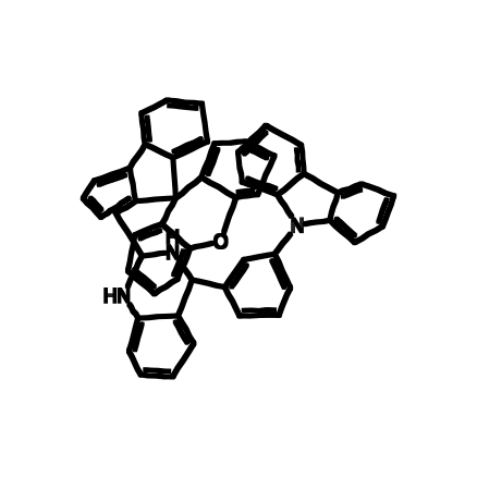 c1cc(C2NC(c3cccc4c3C3(c5ccccc5Oc5ccccc53)c3ccccc3-4)Nc3ccccc32)cc(-n2c3ccccc3c3ccccc32)c1